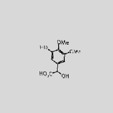 COc1cc(C(O)C(=O)O)cc(O)c1OC